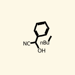 CCCCC.N#CC(O)c1ccccc1